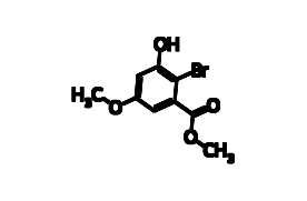 COC(=O)c1cc(OC)cc(O)c1Br